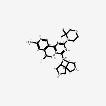 CC1(C)COCCN1c1nc(-c2cnc(N)cc2C(F)F)nc(N2C3COCC34COCC24)n1